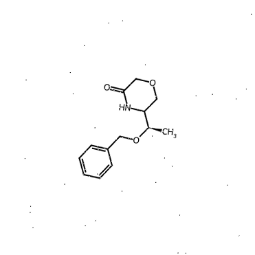 C[C@@H](OCc1ccccc1)C1COCC(=O)N1